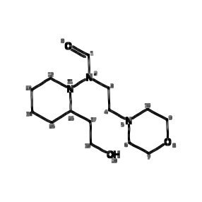 O=CN(CCN1CCOCC1)N1CCCCC1CCO